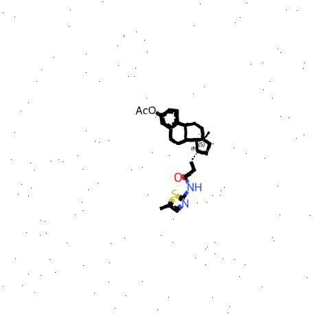 CC(=O)Oc1ccc2c(c1)CCC1C2CC[C@]2(C)[CH]C[C@H](CCC(=O)Nc3ncc(C)s3)C12